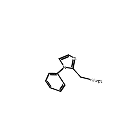 CCCCCCCCc1nccn1-c1ccccc1